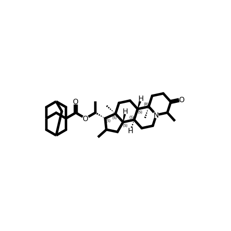 CC1C[C@H]2[C@@H]3CCN4C(C)C(=O)CC[C@]4(C)[C@H]3CC[C@]2(C)[C@H]1C(C)OC(=O)C12CC3CC(CC(C3)C1)C2